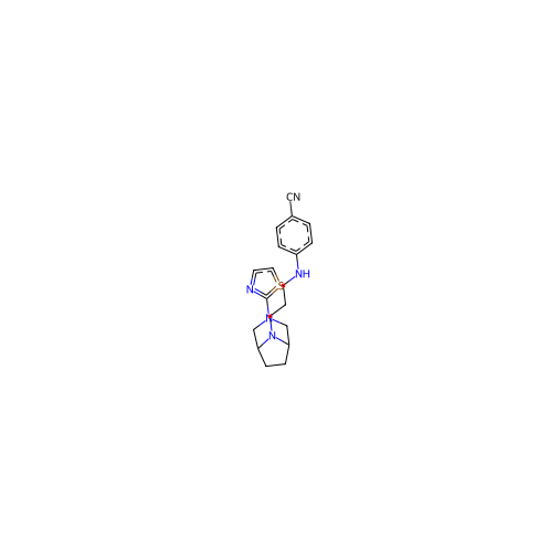 N#Cc1ccc(NCCCN2C3CCC2CN(c2nccs2)C3)cc1